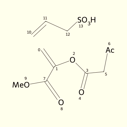 C=C(OC(=O)CC(C)=O)C(=O)OC.C=CCS(=O)(=O)O